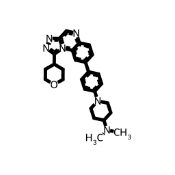 CN(C)C1CCN(c2ccc(-c3ccc4ncc5nnc(C6CCOCC6)n5c4c3)cc2)CC1